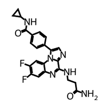 NC(=O)CCNc1nc2cc(F)c(F)cc2n2c(-c3ccc(C(=O)NC4CC4)cc3)cnc12